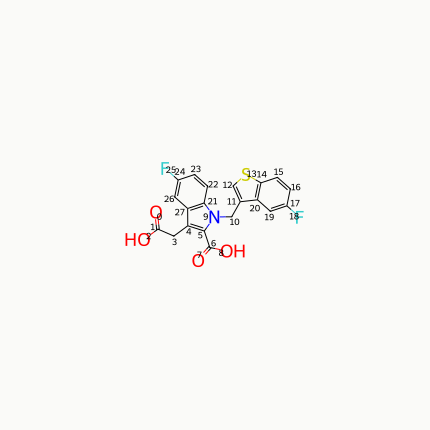 O=C(O)Cc1c(C(=O)O)n(Cc2csc3ccc(F)cc23)c2ccc(F)cc12